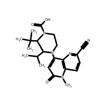 CC(C)C1C(C(C)(C)C)N(C(=O)O)CCN1c1cc(=O)n(C)c2ccc(C#N)nc12